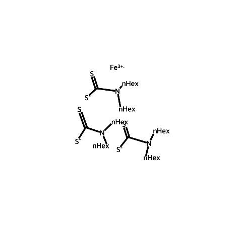 CCCCCCN(CCCCCC)C(=S)[S-].CCCCCCN(CCCCCC)C(=S)[S-].CCCCCCN(CCCCCC)C(=S)[S-].[Fe+3]